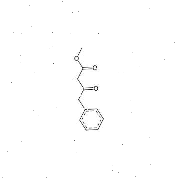 COC(=O)[CH]C(=O)Cc1ccccc1